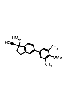 C#CC1(SO)CCc2cc(-c3cc(C)c(OC)c(C)c3)ccc21